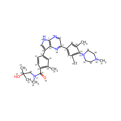 CCc1cc(-c2cnc3[nH]cc(-c4ccc(C(=O)N(C)CC(C)(C)O)c(C)c4)c3n2)cc(C)c1N1CCN(C)CC1